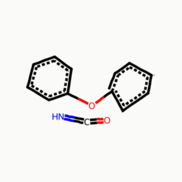 N=C=O.[c]1ccc(Oc2ccccc2)cc1